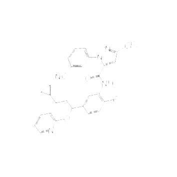 N#Cc1cccc(-n2nc(C(F)(F)F)cc2C(=O)Nc2cc(C(CCC3CC3)Oc3ccccn3)ccc2F)c1